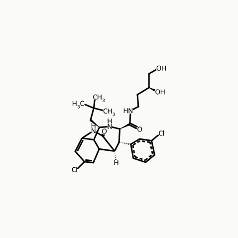 CC(C)(C)C[C@H]1N[C@@H](C(=O)NCC[C@H](O)CO)[C@H](c2cccc(Cl)c2)[C@@H]2C(=O)NC3=CC(Cl)=CC2C31